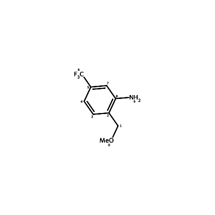 COCc1ccc(C(F)(F)F)cc1N